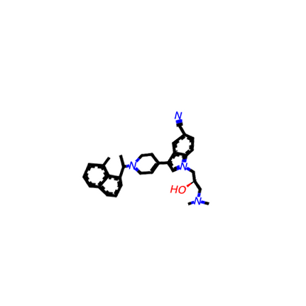 Cc1cccc2cccc(C(C)N3CC=C(c4cn(C[C@H](O)CN(C)C)c5ccc(C#N)cc45)CC3)c12